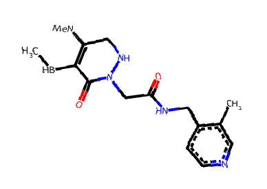 CBC1=C(NC)CNN(CC(=O)NCc2ccncc2C)C1=O